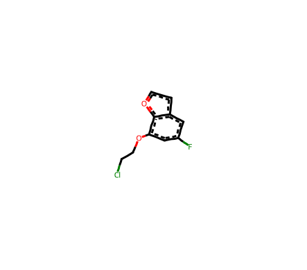 Fc1cc(OCCCl)c2occc2c1